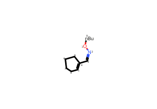 CCCCO/N=[C]\C1=CCCCC1